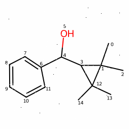 CC1(C)C(C(O)c2ccccc2)C1(C)C